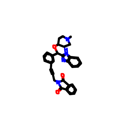 CN1CCC(OC(c2cccc(C#CCN3C(=O)c4ccccc4C3=O)c2)c2nc3ccccc3[nH]2)CC1